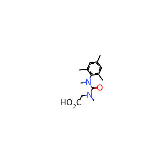 Cc1cc(C)c(N(C)C(=O)N(C)CC(=O)O)c(C)c1